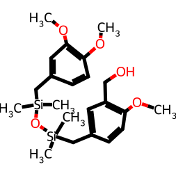 COc1ccc(C[Si](C)(C)O[Si](C)(C)Cc2ccc(OC)c(OC)c2)cc1CO